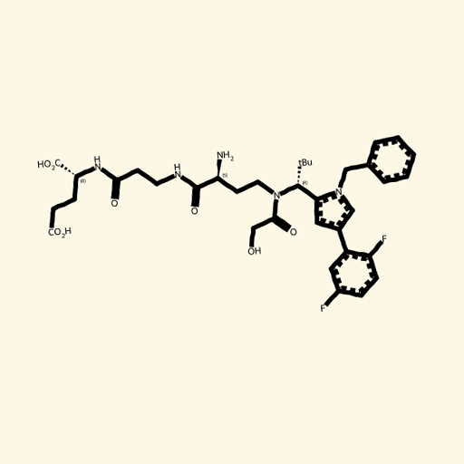 CC(C)(C)[C@H](c1cc(-c2cc(F)ccc2F)cn1Cc1ccccc1)N(CC[C@H](N)C(=O)NCCC(=O)N[C@H](CCC(=O)O)C(=O)O)C(=O)CO